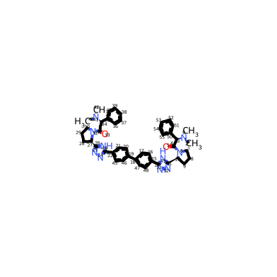 CN(C)[C@@H](C(=O)N1CCC[C@H]1c1nnc(-c2ccc(-c3ccc(-c4nnc([C@@H]5CCCN5C(=O)[C@@H](c5ccccc5)N(C)C)[nH]4)cc3)cc2)[nH]1)c1ccccc1